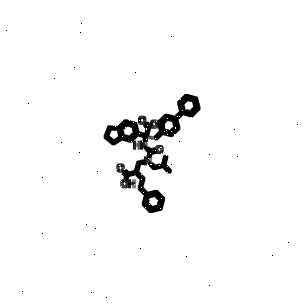 CC(C)CN(CC(CCc1ccccc1)C(=O)O)C(=O)N[C@](Cc1ccc(-c2ccccc2)cc1)(C(=O)O)c1ccc2c(c1)CCC2